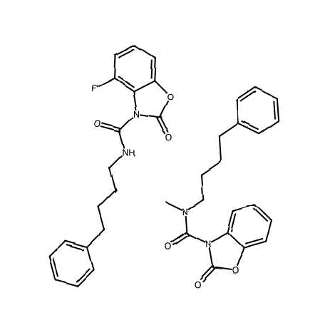 CN(CCCCc1ccccc1)C(=O)n1c(=O)oc2ccccc21.O=C(NCCCCc1ccccc1)n1c(=O)oc2cccc(F)c21